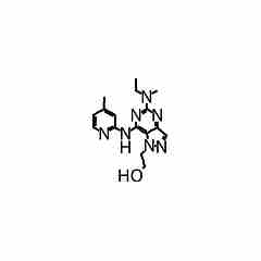 CCN(C)c1nc(Nc2cc(C)ccn2)c2c(cnn2CCO)n1